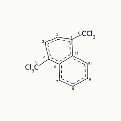 ClC(Cl)(Cl)c1ccc(C(Cl)(Cl)Cl)c2ccccc12